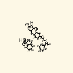 CN(CCOc1ccc(CC2SC(=O)NC2=O)cc1)c1ccccn1.Cc1ccccc1S(=O)(=O)O